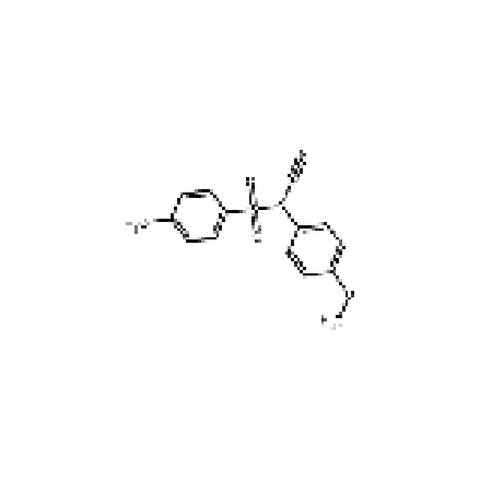 COc1ccc(N(C#N)S(=O)(=O)c2ccc(C)cc2)cc1